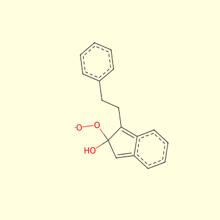 [O]OC1(O)C=c2ccccc2=C1CCc1ccccc1